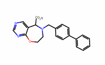 O=C(O)C1c2cncnc2OCCN1Cc1ccc(-c2ccccc2)cc1